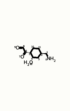 NC[C@H]1CC[C@H](C(=O)C=O)CC1.O